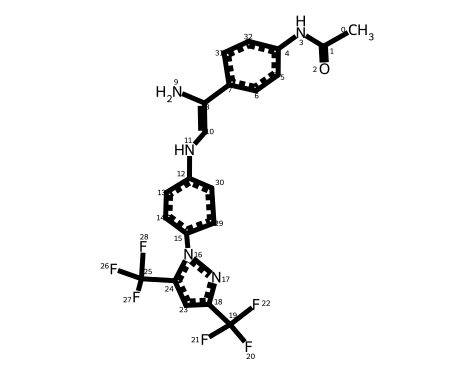 CC(=O)Nc1ccc(/C(N)=C/Nc2ccc(-n3nc(C(F)(F)F)cc3C(F)(F)F)cc2)cc1